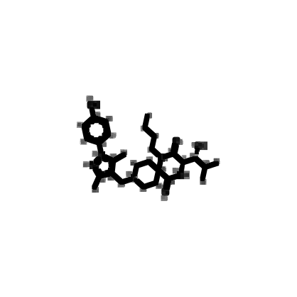 CCCCN1C(=O)[C@@H]([C@H](O)C(C)C)NC(=O)C12CCN(Cc1c(C)nn(-c3ccc(O)cc3)c1C)CC2